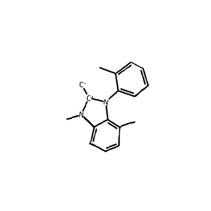 [CH2-][c+]1n(C)c2cccc(C)c2n1-c1ccccc1C